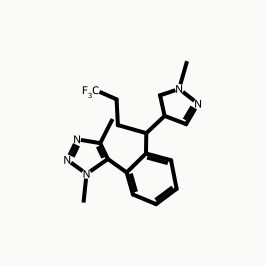 Cc1nnn(C)c1-c1ccccc1C(CCC(F)(F)F)C1C=NN(C)C1